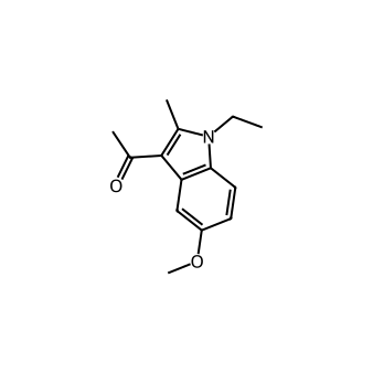 CCn1c(C)c(C(C)=O)c2cc(OC)ccc21